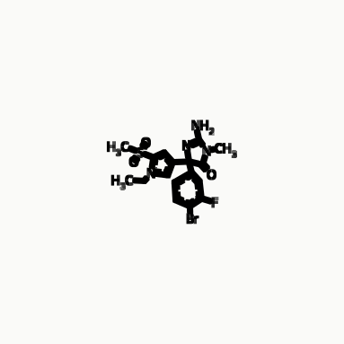 CCn1cc(C2(c3ccc(Br)c(F)c3)N=C(N)N(C)C2=O)cc1S(C)(=O)=O